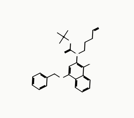 CC(C)(C)OC(=O)N(CCCC=O)c1cc(OCc2ccccc2)c2ccccc2c1Br